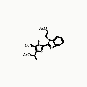 CC(=O)OCCn1c(-c2nc(C(C)OC(C)=O)c([N+](=O)[O-])[nH]2)nc2ccccc21